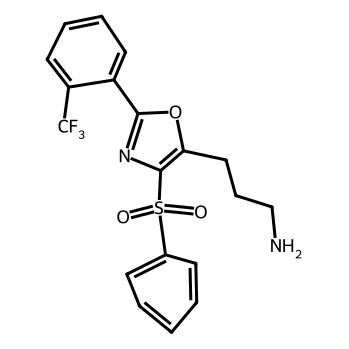 NCCCc1oc(-c2ccccc2C(F)(F)F)nc1S(=O)(=O)c1ccccc1